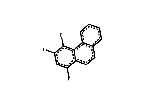 Fc1[c]c(F)c2ccc3ccccc3c2c1F